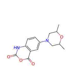 CC1CN(c2ccc3[nH]c(=O)oc(=O)c3c2)CC(C)O1